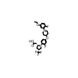 CCOc1ccc(F)c(N2CCC(Oc3ccc(N4C[C@H](C(F)(F)F)C[C@@H]4CC(=O)O)c(F)c3)CC2)c1